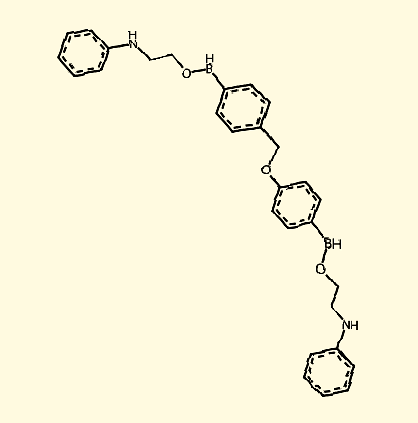 B(OCCNc1ccccc1)c1ccc(COc2ccc(BOCCNc3ccccc3)cc2)cc1